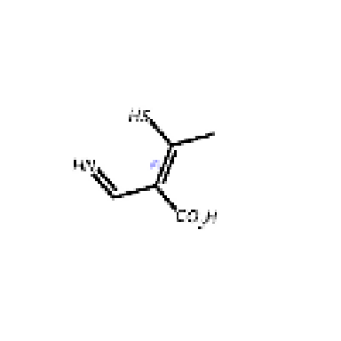 C/C(S)=C(/C=N)C(=O)O